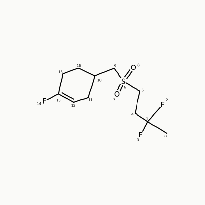 CC(F)(F)CCS(=O)(=O)CC1CC=C(F)CC1